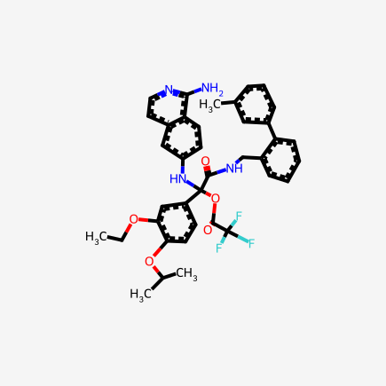 CCOc1cc(C(Nc2ccc3c(N)nccc3c2)(OC(=O)C(F)(F)F)C(=O)NCc2ccccc2-c2cccc(C)c2)ccc1OC(C)C